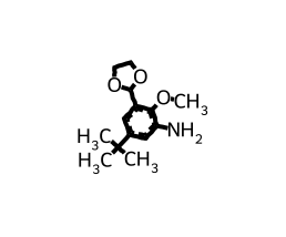 COc1c(N)cc(C(C)(C)C)cc1C1OCCO1